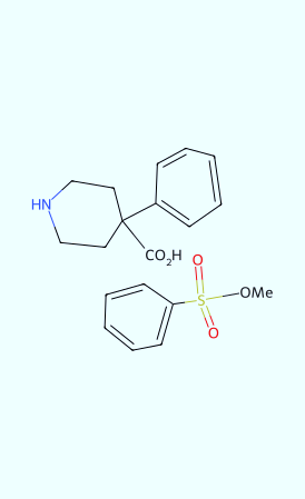 COS(=O)(=O)c1ccccc1.O=C(O)C1(c2ccccc2)CCNCC1